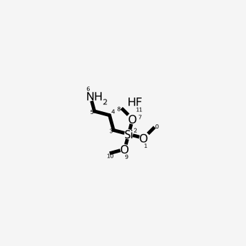 CO[Si](CCCN)(OC)OC.F